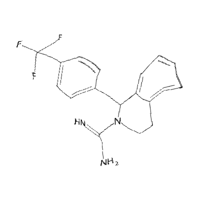 N=C(N)N1CCc2ccccc2C1c1ccc(C(F)(F)F)cc1